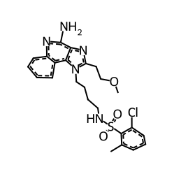 COCCc1nc2c(N)nc3ccccc3c2n1CCCCNS(=O)(=O)c1c(C)cccc1Cl